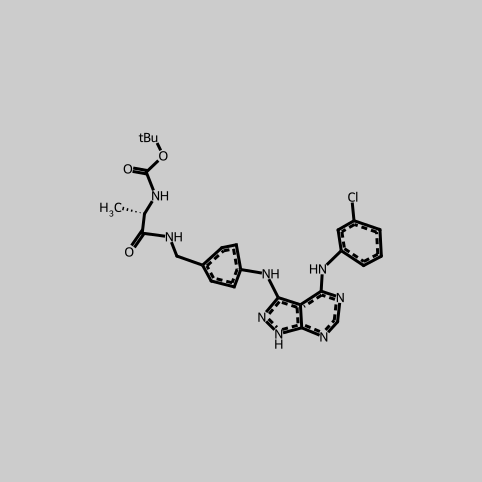 C[C@H](NC(=O)OC(C)(C)C)C(=O)NCc1ccc(Nc2n[nH]c3ncnc(Nc4cccc(Cl)c4)c23)cc1